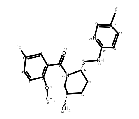 COc1ccc(F)cc1C(=O)N1C[C@@H](C)CC[C@H]1CNc1ccc(Br)cn1